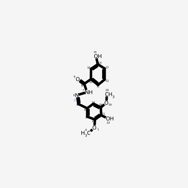 COc1cc(/C=N\NC(=O)c2cccc(O)c2)cc(OC)c1O